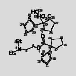 CCN(CC)CCOC(=O)C1(c2cccs2)CCCC1.Cl.O=C(O)C1(c2cccs2)CCCC1